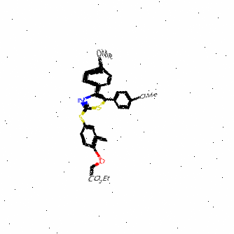 CCOC(=O)COc1ccc(Sc2nc(-c3ccc(OC)cc3)c(-c3ccc(OC)cc3)s2)cc1C